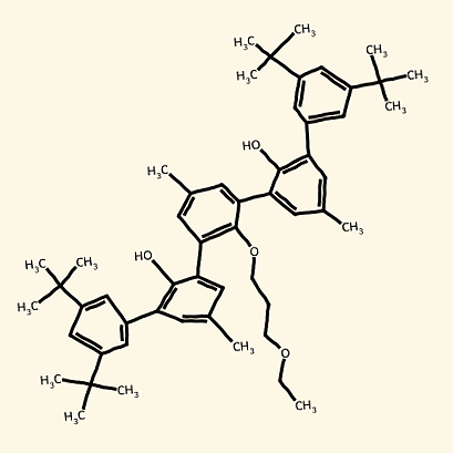 CCOCCCOc1c(-c2cc(C)cc(-c3cc(C(C)(C)C)cc(C(C)(C)C)c3)c2O)cc(C)cc1-c1cc(C)cc(-c2cc(C(C)(C)C)cc(C(C)(C)C)c2)c1O